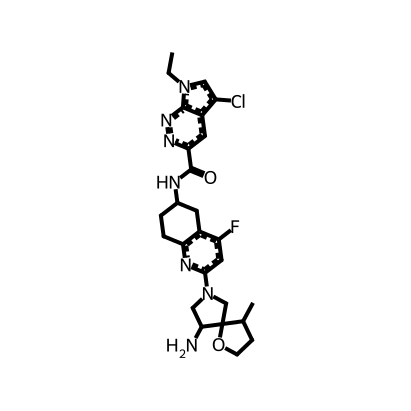 CCn1cc(Cl)c2cc(C(=O)NC3CCc4nc(N5CC(N)C6(C5)OCCC6C)cc(F)c4C3)nnc21